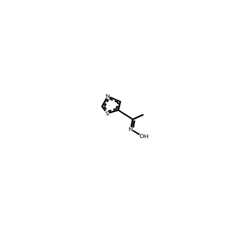 C/C(=N\O)c1cncs1